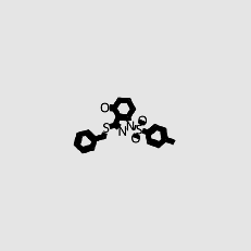 Cc1ccc(S(=O)(=O)n2nc(SCc3ccccc3)c3c2CCCC3=O)cc1